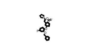 O=[N+]([O-])c1ccc(Oc2ccc(F)cc2OCc2ccccc2)cc1/C=C/N1CCCC1